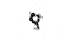 CN1CCNC(=O)COc2ccc(F)cc2C(=O)N2CCCCC2c2cc3nc(/C=C/CO)cc1n3n2